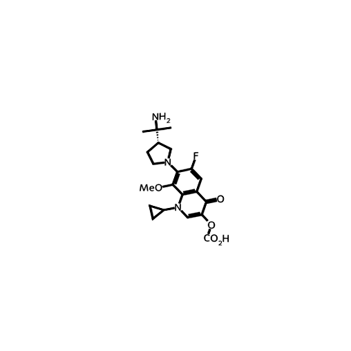 COc1c(N2CC[C@H](C(C)(C)N)C2)c(F)cc2c(=O)c(OC(=O)O)cn(C3CC3)c12